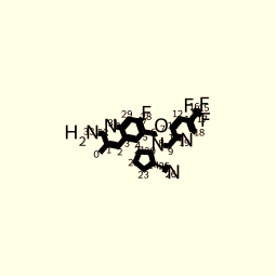 Cc1cc2cc(C(=O)N(Cc3ccc(C(F)(F)F)cn3)[C@H]3CCC[C@@H]3C#N)c(F)cc2nc1N